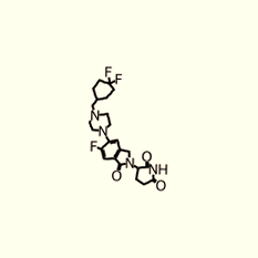 O=C1CCC(N2Cc3cc(N4CCN(CC5CCC(F)(F)CC5)CC4)c(F)cc3C2=O)C(=O)N1